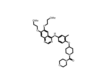 COCCOc1cc2ncnc(Nc3ccc(OC4CCN(C(=O)N5CCOCC5)CC4)c(C)c3)c2cc1OCCOC